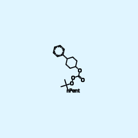 CCCCCC(C)(C)OOC(=O)OC1CCC(c2ccccc2)CC1